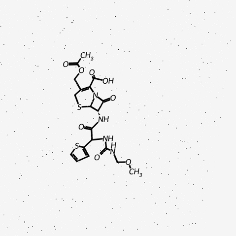 COCNC(=O)NC(C(=O)N[C@H]1C(=O)N2C(C(=O)O)=C(COC(C)=O)CSC12)c1cccs1